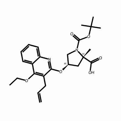 C=CCc1c(O[C@H]2CN(C(=O)OC(C)(C)C)[C@](C)(C(=O)O)C2)nc2ccccc2c1OCC